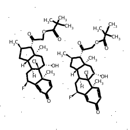 C[C@@H]1C[C@H]2[C@@H]3C[C@H](F)C4=CC(=O)C=C[C@]4(C)[C@@]3(Cl)[C@@H](O)C[C@]2(C)[C@H]1C(=O)COC(=O)C(C)(C)C.C[C@@H]1C[C@H]2[C@@H]3C[C@H](F)C4=CC(=O)C=C[C@]4(C)[C@@]3(Cl)[C@@H](O)C[C@]2(C)[C@H]1C(=O)COC(=O)C(C)(C)C